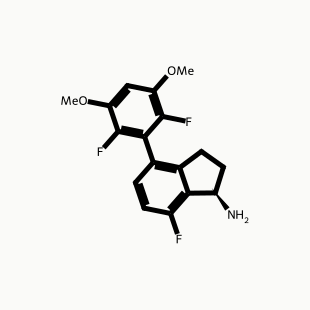 COc1cc(OC)c(F)c(-c2ccc(F)c3c2CC[C@H]3N)c1F